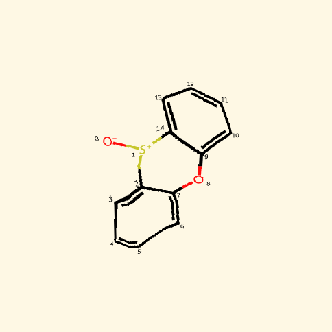 [O-][S+]1c2ccccc2Oc2ccccc21